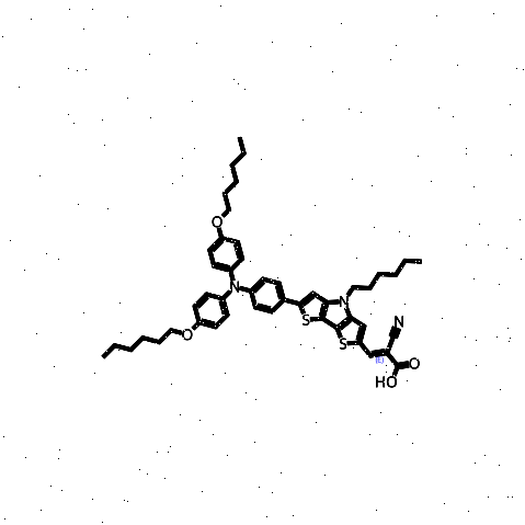 CCCCCCOc1ccc(N(c2ccc(OCCCCCC)cc2)c2ccc(-c3cc4c(s3)c3sc(/C=C(\C#N)C(=O)O)cc3n4CCCCCC)cc2)cc1